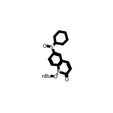 CCCCOn1c(=O)ccc2cc([S+]([O-])C3CCCCC3)ccc21